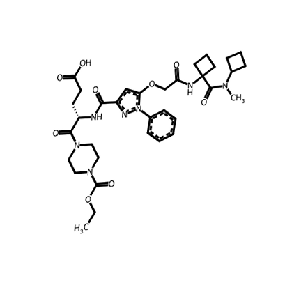 CCOC(=O)N1CCN(C(=O)[C@H](CCC(=O)O)NC(=O)c2cc(OCC(=O)NC3(C(=O)N(C)C4CCC4)CCC3)n(-c3ccccc3)n2)CC1